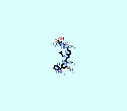 COc1cc(C(=O)N2[C@H]3CC[C@@H]2[C@H](N)C3)cc2nc(-c3cc4ccc([C@@H](C)NC(=O)N5CC(C)(C(=O)O)C5)nc4n3CC3CC3)c(C)n12